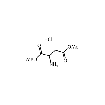 COC(=O)CC(N)C(=O)OC.Cl